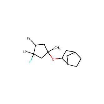 CCC1CC(C)(OC2CC3CCC2C3)CC1(F)CC